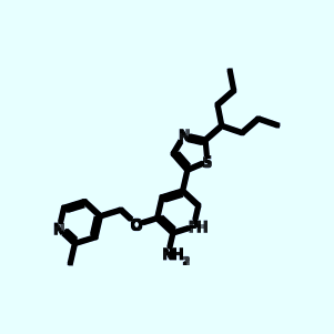 CCCC(CCC)c1ncc(C2=CC(OCc3ccnc(C)c3)=C(N)PC2)s1